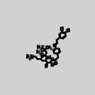 CC(C)(C)CC(=O)NC(CCCCN)C(=O)c1noc(Cc2ccc(OCCc3ccc(Cl)c(Cl)c3)cc2)n1